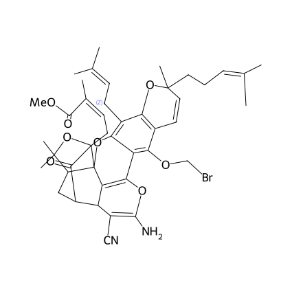 COC(=O)/C(C)=C\CC12OC(C)(C)C3CC(C1=O)C1C(C#N)=C(N)OC4=C1C32Oc1c(CC=C(C)C)c2c(c(OCBr)c14)C=CC(C)(CCC=C(C)C)O2